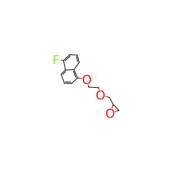 Fc1cccc2c(OCCOCC3CO3)cccc12